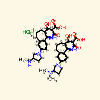 CN(C)C1CCN(c2ccc3c(c2)CCCc2c-3[nH]c(=O)c(C(=O)O)c2O)C1.CNC1CCN(c2ccc3c(c2)CCCc2c-3[nH]c(=O)c(C(=O)O)c2O)C1.Cl.Cl